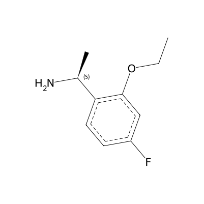 CCOc1cc(F)ccc1[C@H](C)N